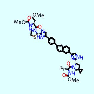 COCC[C@H](NC(=O)OC)C(=O)N1CCS[C@H]1c1ncc(-c2ccc(-c3ccc4cc(-c5c[nH]c([C@@H]6CC7(CC7)CN6C(=O)C(NC(=O)OC)C(C)C)n5)ccc4c3)cc2)[nH]1